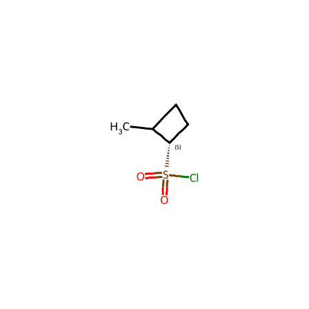 CC1CC[C@@H]1S(=O)(=O)Cl